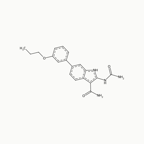 CCCOc1cccc(-c2ccc3c(C(N)=O)c(NC(N)=O)[nH]c3c2)c1